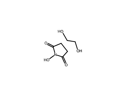 O=C1CCC(=O)N1O.OCCO